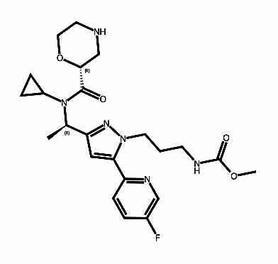 COC(=O)NCCCn1nc([C@@H](C)N(C(=O)[C@H]2CNCCO2)C2CC2)cc1-c1ccc(F)cn1